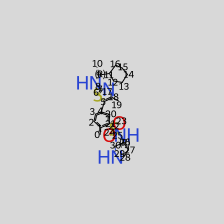 Cc1ccc(-c2sc(N[C@H](C)C3CCCCC3)nc2C)cc1S(=O)(=O)N[C@@H]1CCNC1